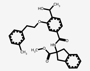 COC(=O)C1(NC(=O)c2ccc(C(C)O)c(OCCc3cccc(C)c3)c2)Cc2ccccc2C1